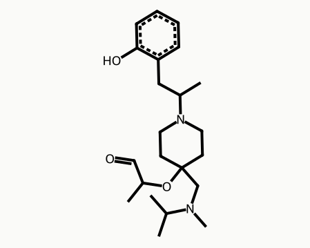 CC(C=O)OC1(CN(C)C(C)C)CCN(C(C)Cc2ccccc2O)CC1